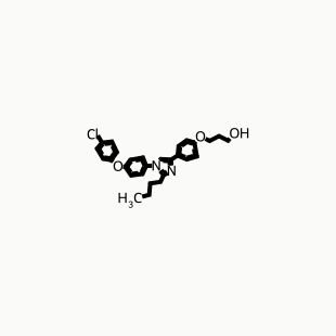 CCCCc1nc(-c2ccc(OCCCO)cc2)cn1-c1ccc(Oc2ccc(Cl)cc2)cc1